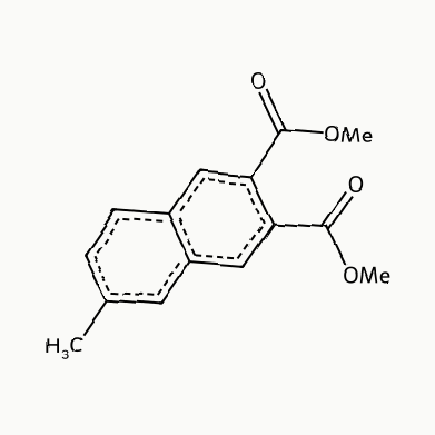 COC(=O)c1cc2ccc(C)cc2cc1C(=O)OC